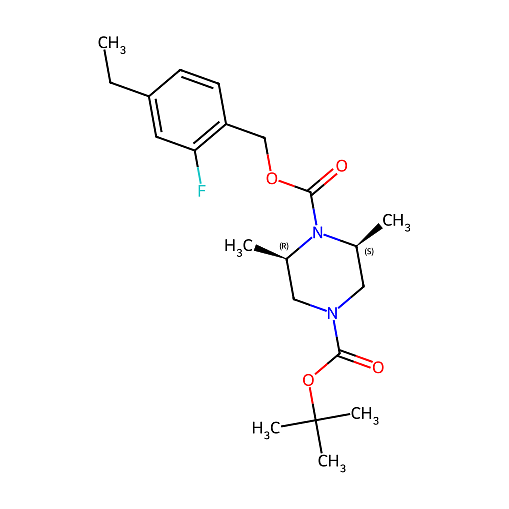 CCc1ccc(COC(=O)N2[C@H](C)CN(C(=O)OC(C)(C)C)C[C@@H]2C)c(F)c1